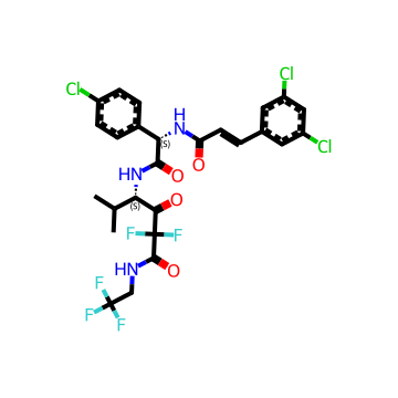 CC(C)[C@H](NC(=O)[C@@H](NC(=O)C=Cc1cc(Cl)cc(Cl)c1)c1ccc(Cl)cc1)C(=O)C(F)(F)C(=O)NCC(F)(F)F